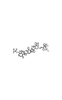 CN(C)C(=O)C=CCCC(NC(=O)O)C(=O)Nc1ccc(Cl)n(Cc2nc3c(F)cnc(CCC(F)(F)F)c3[nH]2)c1=O